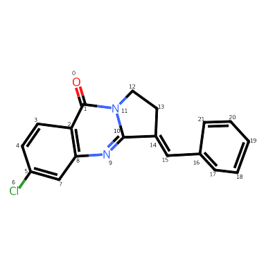 O=c1c2ccc(Cl)cc2nc2n1CCC2=Cc1ccccc1